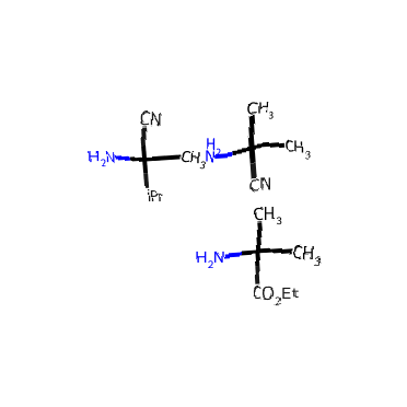 CC(C)(N)C#N.CC(C)C(C)(N)C#N.CCOC(=O)C(C)(C)N